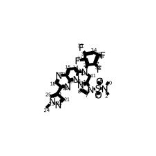 CN(C)S(=O)(=O)n1ccnc1CN(c1ccc2ncc(-c3cnn(C)c3)nc2n1)c1c(F)c(F)cc(F)c1F